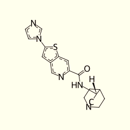 O=C(N[C@H]1CN2CCC1CC2)c1cc2sc(-n3ccnc3)cc2cn1